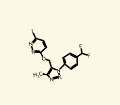 Cc1nnn(-c2ccc(C(F)F)cc2)c1COc1ccc(I)nn1